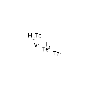 [Ta].[TeH2].[TeH2].[V]